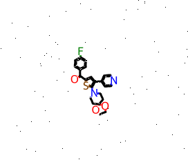 O=C(c1ccc(F)cc1)c1cc(-c2ccncc2)c(N2CCC3(CC2)OCCO3)s1